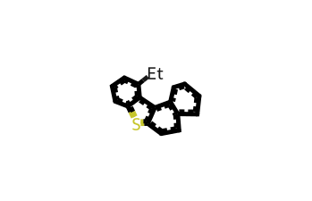 CCc1cccc2sc3ccc4ccccc4c3c12